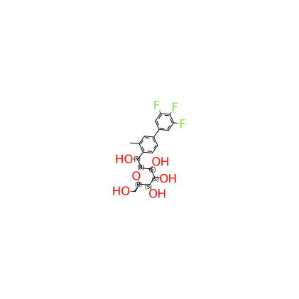 Cc1cc(-c2cc(F)c(F)c(F)c2)ccc1[C@@H](O)[C@H]1O[C@H](CO)[C@@H](O)[C@H](O)[C@@H]1O